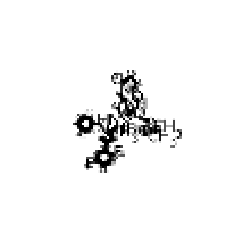 CC(C)(C)[C@@H](NCC[C@@H](CN1C(=O)CCC1=O)NC(=O)OCC[Si](C)(C)C)c1cc(-c2cc(F)ccc2F)cn1Cc1ccccc1